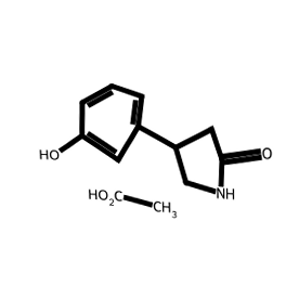 CC(=O)O.O=C1CC(c2cccc(O)c2)CN1